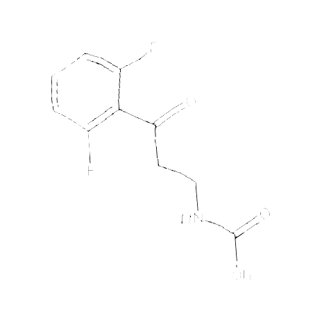 O=C(O)NCCC(=O)c1c(F)cccc1F